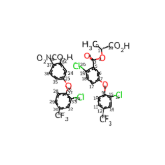 C[C@H](OC(=O)c1cc(Oc2ccc(C(F)(F)F)cc2Cl)ccc1Cl)C(=O)O.O=C(O)c1cc(Oc2ccc(C(F)(F)F)cc2Cl)ccc1[N+](=O)[O-]